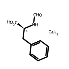 O=CN[C@@H](Cc1ccccc1)C(=O)O.[CaH2]